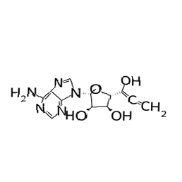 C=C=C(O)[C@H]1O[C@@H](n2cnc3c(N)ncnc32)[C@H](O)[C@@H]1O